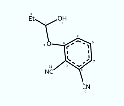 CCC(O)Oc1cccc(C#N)c1C#N